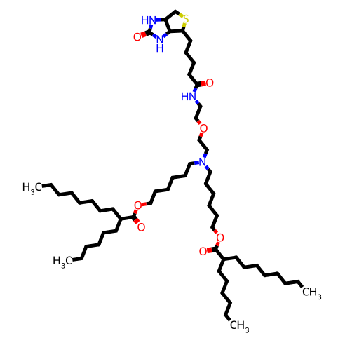 CCCCCCCCC(CCCCCC)C(=O)OCCCCCCN(CCCCCCOC(=O)C(CCCCCC)CCCCCCCC)CCOCCNC(=O)CCCCC1SCC2NC(=O)NC21